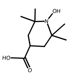 CC1(C)CC(C(=O)O)CC(C)(C)N1O